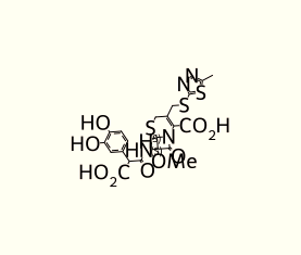 CO[C@@]1(NC(=O)C(C(=O)O)c2ccc(O)c(O)c2)C(=O)N2C(C(=O)O)=C(CSc3nnc(C)s3)CS[C@H]21